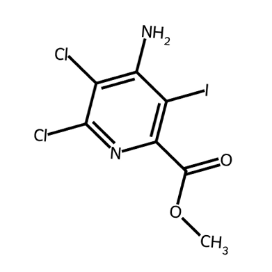 COC(=O)c1nc(Cl)c(Cl)c(N)c1I